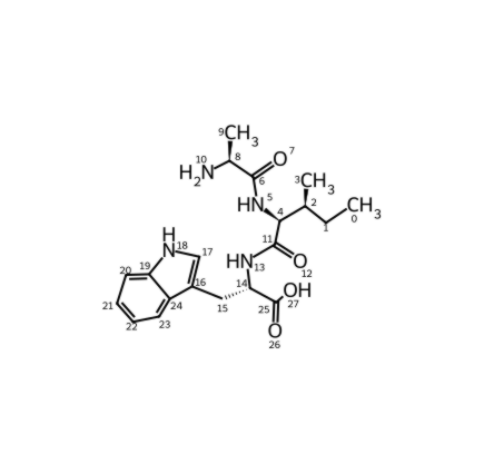 CC[C@H](C)[C@H](NC(=O)[C@H](C)N)C(=O)N[C@@H](Cc1c[nH]c2ccccc12)C(=O)O